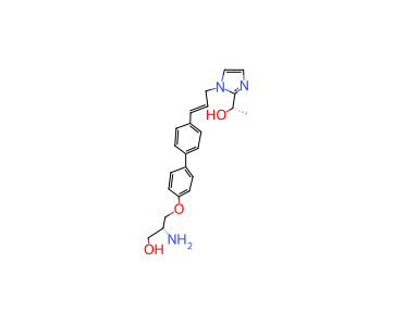 C[C@H](O)c1nccn1C/C=C/c1ccc(-c2ccc(OC[C@H](N)CO)cc2)cc1